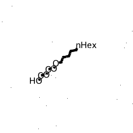 CCCCCCCCCCCOOOOOO